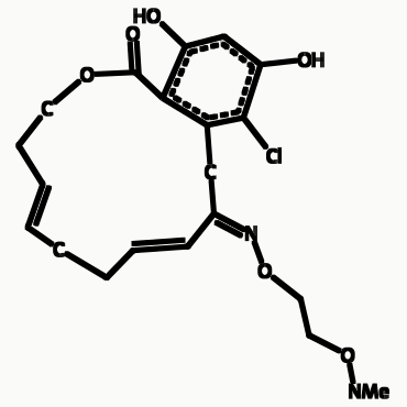 CNOCCON=C1/C=C/CC/C=C/CCOC(=O)c2c(O)cc(O)c(Cl)c2C1